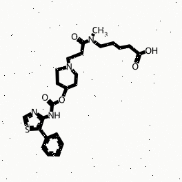 CN(CCCCC(=O)O)C(=O)CCN1CCC(OC(=O)Nc2ncsc2-c2ccccc2)CC1